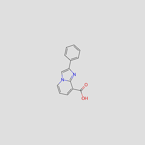 O=C(O)c1cccn2cc(-c3ccccc3)nc12